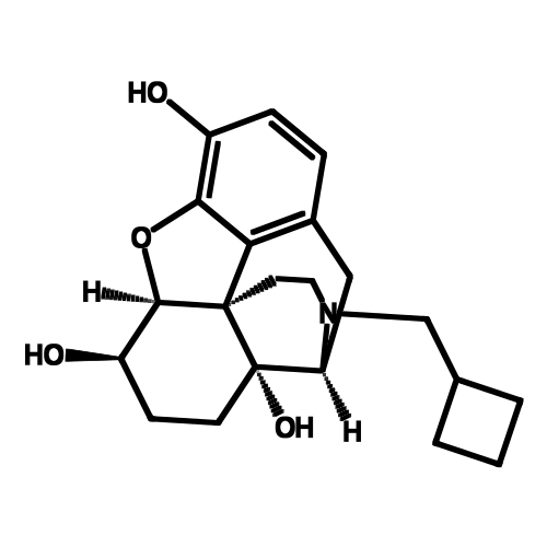 Oc1ccc2c3c1O[C@@H]1[C@H](O)CC[C@]4(O)[C@H](C2)N(CC2CCC2)CC[C@@]314